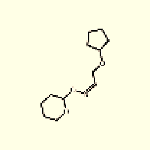 C(/COC1CCCC1)=N/OC1CCCCO1